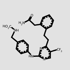 NC(=O)Cc1ccccc1CCc1nc(Nc2ccc(CNC(=O)O)cc2)ncc1C(F)(F)F